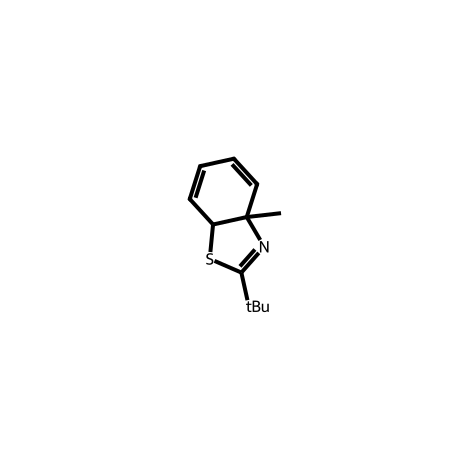 CC(C)(C)C1=NC2(C)C=CC=CC2S1